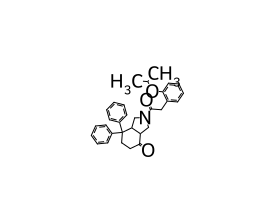 CC(C)Oc1ccccc1CC(=O)N1CC2C(=O)CCC(c3ccccc3)(c3ccccc3)C2C1